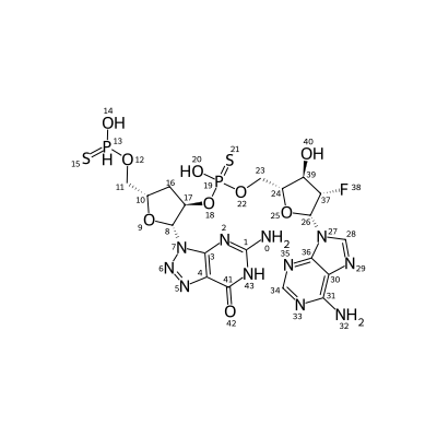 Nc1nc2c(nnn2[C@@H]2O[C@H](CO[PH](O)=S)C[C@H]2OP(O)(=S)OC[C@H]2O[C@@H](n3cnc4c(N)ncnc43)[C@@H](F)[C@@H]2O)c(=O)[nH]1